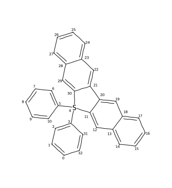 c1ccc(S2(c3ccccc3)c3cc4ccccc4cc3-c3cc4ccccc4cc32)cc1